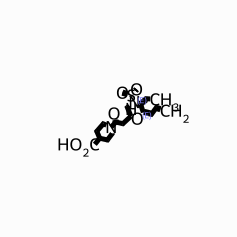 C=C/C=C1/OC(CC(=O)N2CCC(C(=O)O)CC2)CN([SH](=O)=O)/C1=C/C